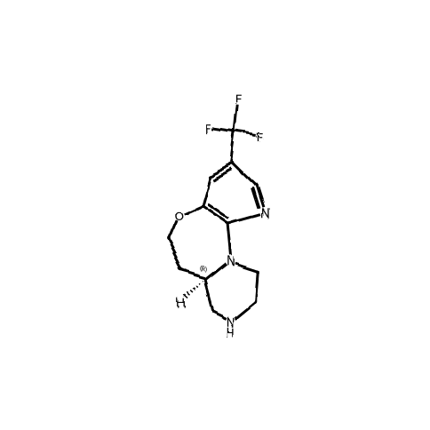 FC(F)(F)c1cnc2c(c1)OCC[C@@H]1CNCCN21